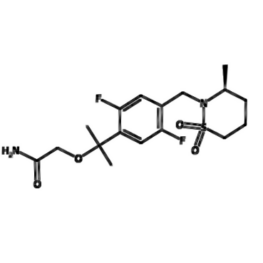 C[C@H]1CCCS(=O)(=O)N1Cc1cc(F)c(C(C)(C)OCC(N)=O)cc1F